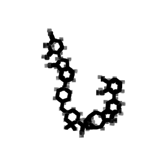 CC1(C)CN(CC2CCN(c3ccc4c(c3)C(=O)N([C@H]3CCC(=O)NC3=O)C4)CC2)CCN1C(=O)N1C2CCC1Cc1c([nH]c3nnc(-c4cccc(F)c4O)cc13)C2